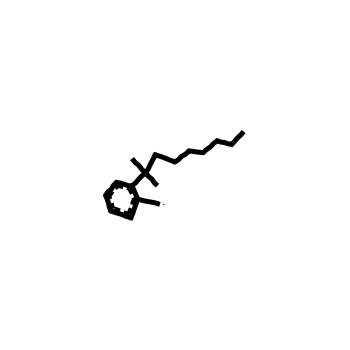 [CH2]c1ccccc1C(C)(C)CCCCCCC